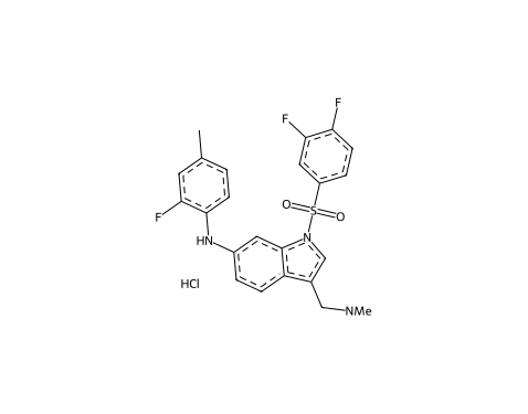 CNCc1cn(S(=O)(=O)c2ccc(F)c(F)c2)c2cc(Nc3ccc(C)cc3F)ccc12.Cl